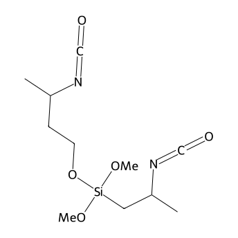 CO[Si](CC(C)N=C=O)(OC)OCCC(C)N=C=O